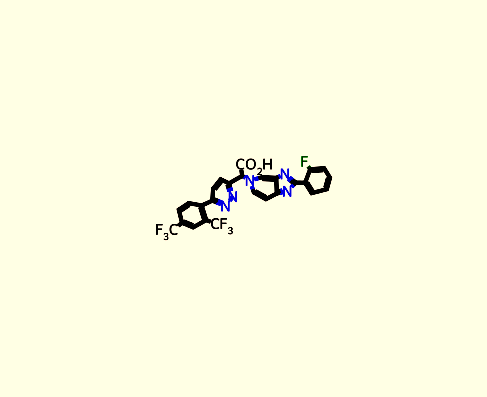 O=C(O)C(c1ccc(-c2ccc(C(F)(F)F)cc2C(F)(F)F)nn1)n1ccc2nc(-c3ccccc3F)nc-2c1